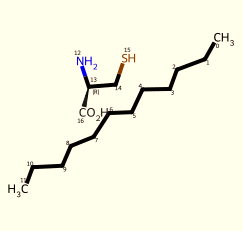 CCCCCCCCCCCC.N[C@@H](CS)C(=O)O